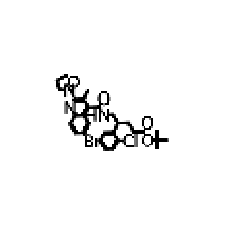 Cc1c(N2CCCO2)nc2ccc(Br)cc2c1C(=O)NCC(CCC(=O)OC(C)(C)C)c1ccccc1Cl